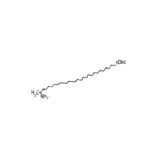 CCCCCCCCCCCCCCCCCCCCCCCCCCCCCCCCCCC(C)N